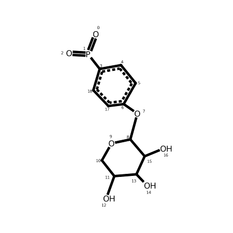 O=P(=O)c1ccc(OC2OCC(O)C(O)C2O)cc1